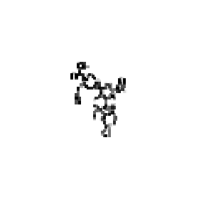 C[S+]([O-])c1nc2c(c(N3CCN(C(=O)O)[C@@H](CC#N)C3)n1)CC[C@@]1(CCc3c(Cl)cccc31)[C@H]2F